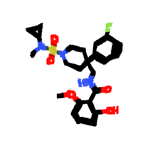 COc1cccc(O)c1C(=O)NCC1(c2cccc(F)c2)CCN(S(=O)(=O)N(C)C2CC2)CC1